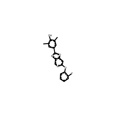 Cc1cc(-c2nc3cnc(Oc4ccccc4F)cc3o2)cc(C)c1O